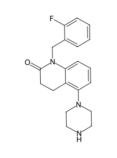 O=C1CCc2c(N3CCNCC3)cccc2N1Cc1ccccc1F